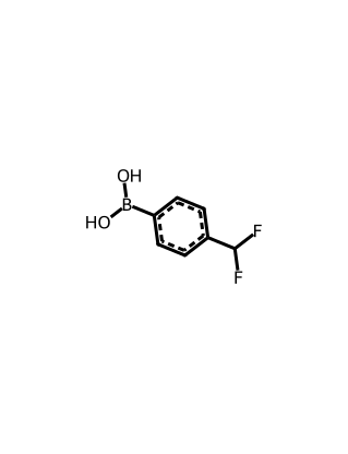 OB(O)c1ccc(C(F)F)cc1